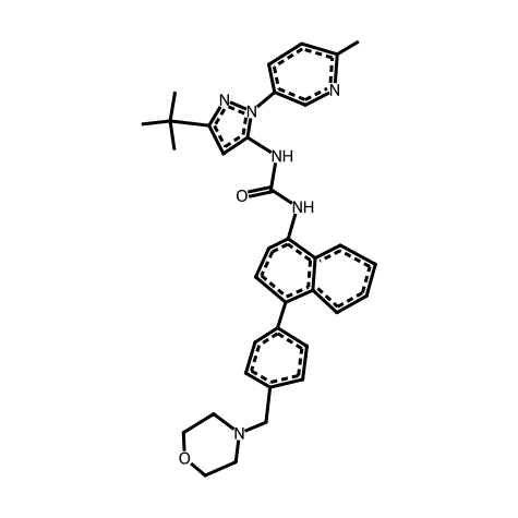 Cc1ccc(-n2nc(C(C)(C)C)cc2NC(=O)Nc2ccc(-c3ccc(CN4CCOCC4)cc3)c3ccccc23)cn1